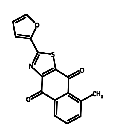 Cc1cccc2c1C(=O)c1sc(-c3ccco3)nc1C2=O